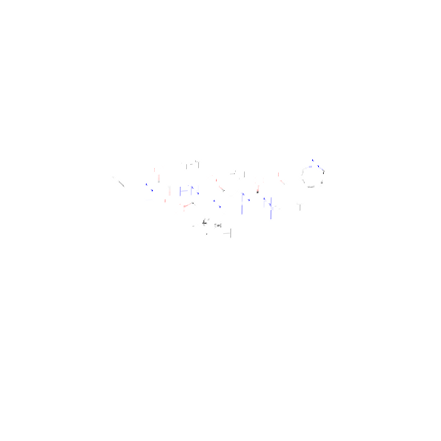 C=CCNC(=O)C(=O)C(CCC)NC(=O)[C@@H]1[C@@H]2[C@H](CN1C(=O)[C@@H](NC(=O)N[C@H](C(=O)c1cccnc1)C(C)C)C(C)(C)C)C2(C)C